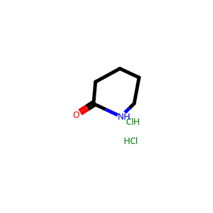 Cl.Cl.O=C1CCCCN1